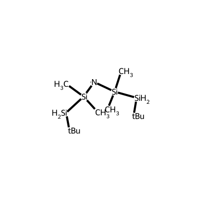 CC(C)(C)[SiH2][Si](C)(C)[N][Si](C)(C)[SiH2]C(C)(C)C